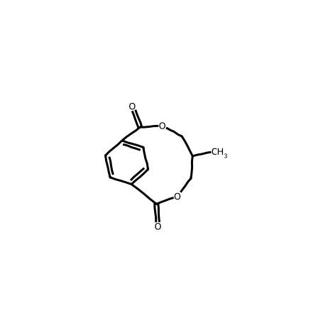 CC1COC(=O)c2ccc(cc2)C(=O)OC1